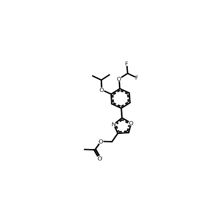 CC(=O)OCc1coc(-c2ccc(OC(F)F)c(OC(C)C)c2)n1